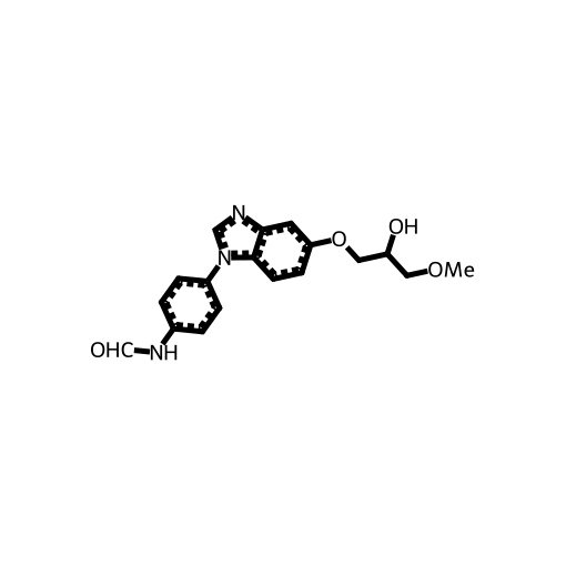 COCC(O)COc1ccc2c(c1)ncn2-c1ccc(NC=O)cc1